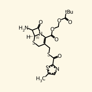 Cc1cnc(C(=O)SCC2=C(C(=O)OCOC(=O)C(C)(C)C)N3C(=O)C(N)[C@@H]3SC2)s1